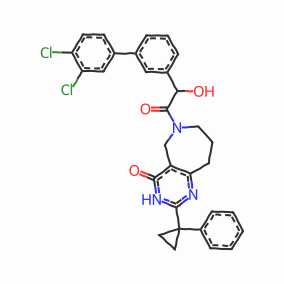 O=C(C(O)c1cccc(-c2ccc(Cl)c(Cl)c2)c1)N1CCCc2nc(C3(c4ccccc4)CC3)[nH]c(=O)c2C1